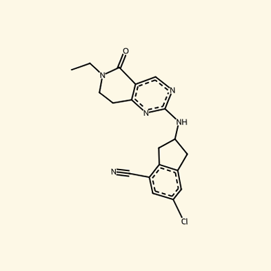 CCN1CCc2nc(NC3Cc4cc(Cl)cc(C#N)c4C3)ncc2C1=O